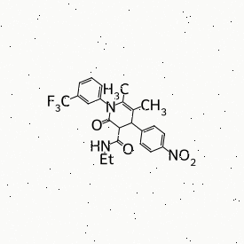 CCNC(=O)C1C(=O)N(c2cccc(C(F)(F)F)c2)C(C)=C(C)C1c1ccc([N+](=O)[O-])cc1